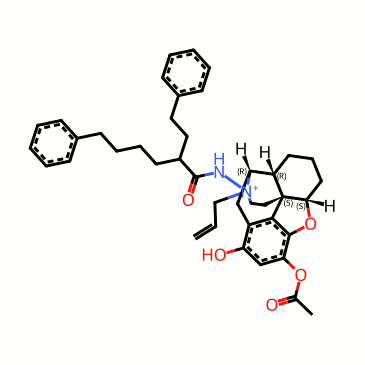 C=CC[N+]1(NC(=O)C(CCCCc2ccccc2)CCc2ccccc2)CC[C@]23c4c5c(O)cc(OC(C)=O)c4O[C@H]2CCC[C@H]3[C@H]1C5